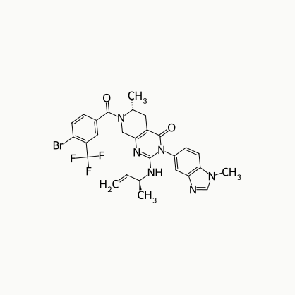 C=C[C@H](C)Nc1nc2c(c(=O)n1-c1ccc3c(c1)ncn3C)C[C@@H](C)N(C(=O)c1ccc(Br)c(C(F)(F)F)c1)C2